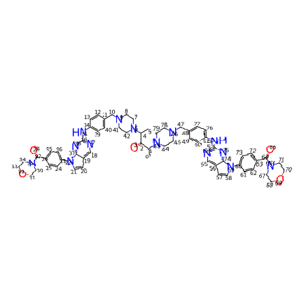 CC(C(=O)C(C)N1CCN(Cc2ccc(Nc3ncc4ccn(-c5ccc(C(=O)N6CCOCC6)cc5)c4n3)cc2)CC1)N1CCN(Cc2ccc(Nc3ncc4ccn(-c5ccc(C(=O)N6CCOCC6)cc5)c4n3)cc2)CC1